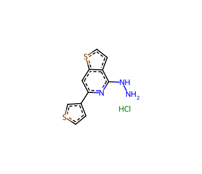 Cl.NNc1nc(-c2ccsc2)cc2sccc12